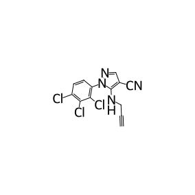 C#CCNc1c(C#N)cnn1-c1ccc(Cl)c(Cl)c1Cl